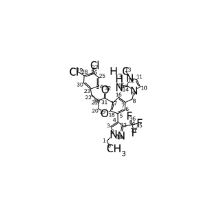 CCn1cc(-c2cc(Cn3ccn(C)c3=N)cc3c2OC[C@@H](Cc2ccc(Cl)c(Cl)c2)C3=O)c(C(F)(F)F)n1